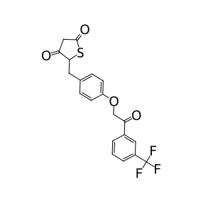 O=C1CC(=O)C(Cc2ccc(OCC(=O)c3cccc(C(F)(F)F)c3)cc2)S1